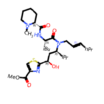 CCC/C=C/CN(C(=O)[C@@H](NC(=O)[C@H]1CCCCN1C)C(C)CC)[C@H](C[C@@H](O)c1nc(C(=O)OC)cs1)C(C)C